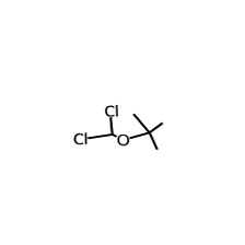 CC(C)(C)OC(Cl)Cl